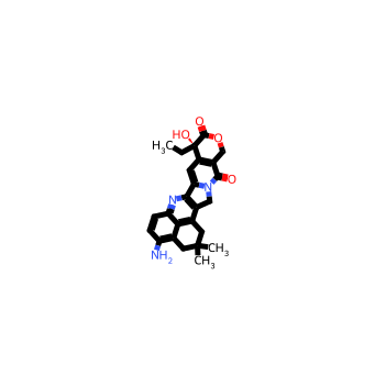 CC[C@@]1(O)C(=O)OCc2c1cc1n(c2=O)Cc2c-1nc1ccc(N)c3c1c2CC(C)(C)C3